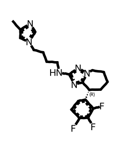 Cc1cn(CCCCNc2nc3n(n2)CCCC[C@@H]3c2ccc(F)c(F)c2F)cn1